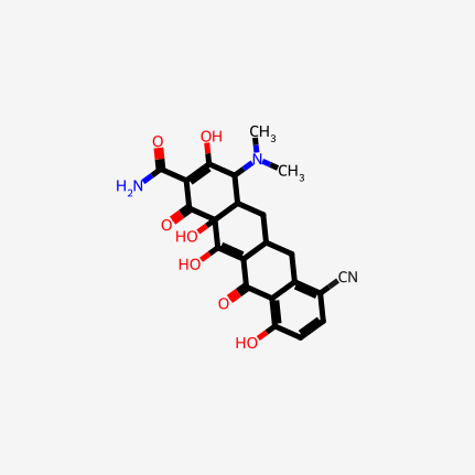 CN(C)C1C(O)=C(C(N)=O)C(=O)C2(O)C(O)=C3C(=O)c4c(O)ccc(C#N)c4CC3CC12